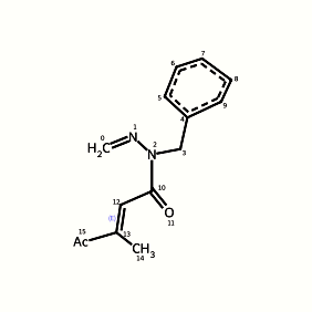 C=NN(Cc1ccccc1)C(=O)/C=C(\C)C(C)=O